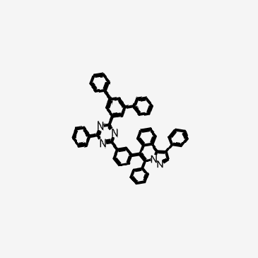 c1ccc(-c2cc(-c3ccccc3)cc(-c3nc(-c4ccccc4)nc(-c4cccc(-c5c(-c6ccccc6)n6ncc(-c7ccccc7)c6c6ccccc56)c4)n3)c2)cc1